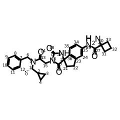 C[C@@H](C1CC1)N(Cc1ccccc1)C(=O)CN1C(=O)NC2(CCc3cc(NC(=O)C4(N)CCC4)ccc32)C1=O